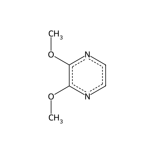 COc1nccnc1OC